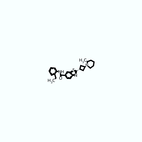 CCc1ccccc1NC(=O)c1ccc2nc([C@H]3C[C@H](N4CCCC[C@@H]4C)C3)sc2c1